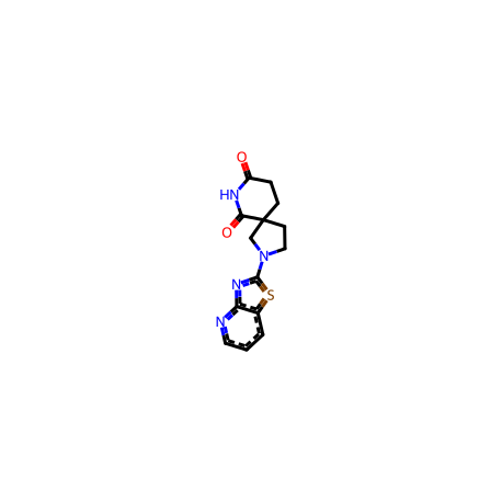 O=C1CCC2(CCN(c3nc4ncccc4s3)C2)C(=O)N1